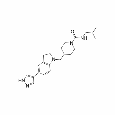 CC(C)CNC(=O)N1CCC(CN2CCc3cc(-c4cn[nH]c4)ccc32)CC1